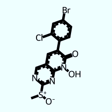 C[S+]([O-])c1ncc2cc(-c3ccc(Br)cc3Cl)c(=O)n(O)c2n1